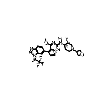 COc1nc(N[C@@H]2CCN(C3COC3)C[C@H]2F)nn2ccc(-c3ccc4nnn([C@H](C)C(F)(F)F)c4c3)c12